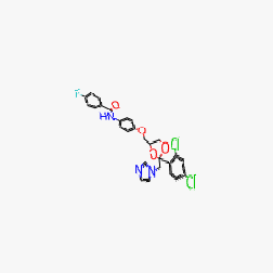 O=C(Nc1ccc(OCC2COC(Cn3ccnc3)(c3ccc(Cl)cc3Cl)O2)cc1)c1ccc(F)cc1